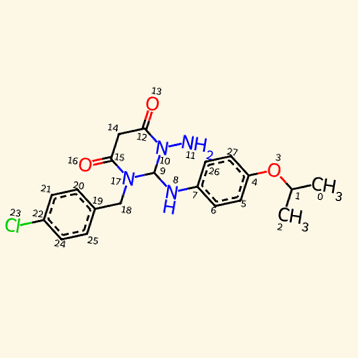 CC(C)Oc1ccc(NC2N(N)C(=O)CC(=O)N2Cc2ccc(Cl)cc2)cc1